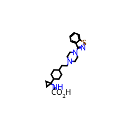 O=C(O)NC1(C2CCC(CCN3CCN(c4nsc5ccccc45)CC3)CC2)CC1